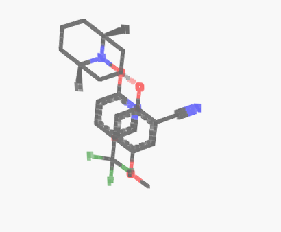 COc1ccc(O[C@H]2C[C@H]3CCC[C@@H](C2)N3Oc2ccc(C(F)(F)F)cn2)c(C#N)c1